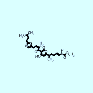 COC(=O)N/C=C/CCC(C)c1cc(O)c(C(=O)/C(C)=C\Cc2cnc(CCC(C)C)s2)c(=O)o1